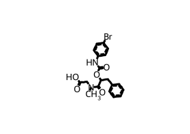 CN(CC(=O)O)C(=O)C(Cc1ccccc1)OC(=O)Nc1ccc(Br)cc1